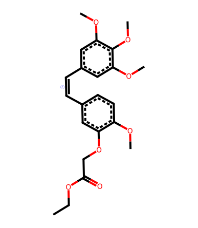 CCOC(=O)COc1cc(/C=C\c2cc(OC)c(OC)c(OC)c2)ccc1OC